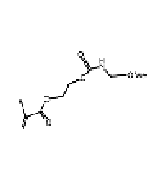 C=C(C)C(=O)OCCOC(=O)NCOC